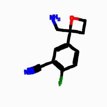 N#Cc1cc(C2(CN)CCO2)ccc1F